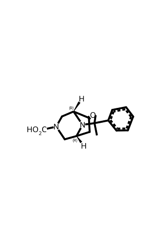 CC(C)(c1ccccc1)N1[C@@H]2CC(=O)[C@H]1CN(C(=O)O)C2